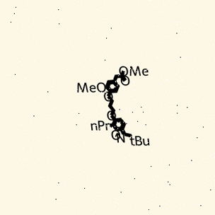 CCCc1c(OCCCOc2ccc(CC(=O)OC)cc2OC)ccc2c(CC(C)(C)C)noc12